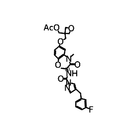 CC(=O)OCC1(COc2ccc3c(c2)N(C)C(=O)[C@@H](NC(=O)n2cc(Cc4cccc(F)c4)cn2)CO3)COC1